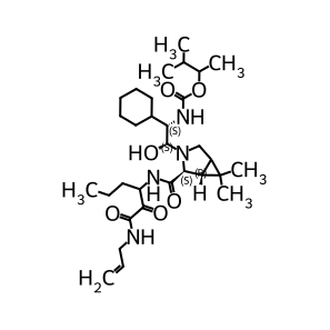 C=CCNC(=O)C(=O)C(CCC)NC(=O)[C@@H]1[C@@H]2C(CN1[C@@H](O)[C@@H](NC(=O)OC(C)C(C)C)C1CCCCC1)C2(C)C